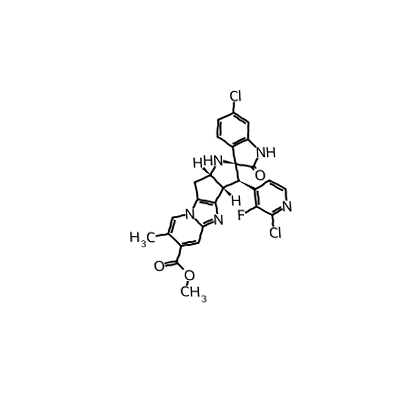 COC(=O)c1cc2nc3c(n2cc1C)C[C@@H]1N[C@@]2(C(=O)Nc4cc(Cl)ccc42)[C@@H](c2ccnc(Cl)c2F)[C@H]31